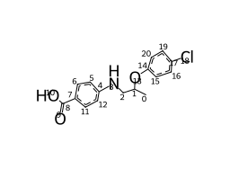 CC(CNc1ccc(C(=O)O)cc1)Oc1ccc(Cl)cc1